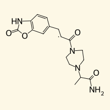 CC(C(N)=O)N1CCN(C(=O)[CH]Cc2ccc3[nH]c(=O)oc3c2)CC1